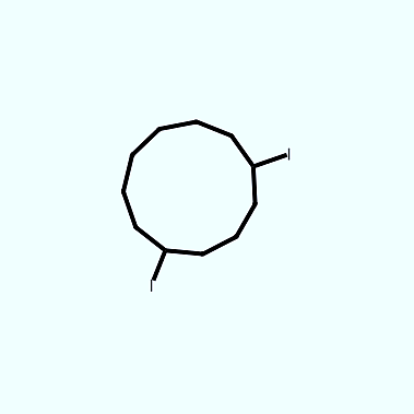 IC1CCCCCCC(I)CCC1